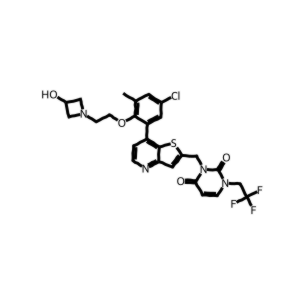 Cc1cc(Cl)cc(-c2ccnc3cc(Cn4c(=O)ccn(CC(F)(F)F)c4=O)sc23)c1OCCN1CC(O)C1